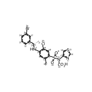 C[C@H](Nc1cc(F)c(S(=O)(=O)N(C(=O)O)c2cscn2)cc1Cl)c1cccc(Br)c1